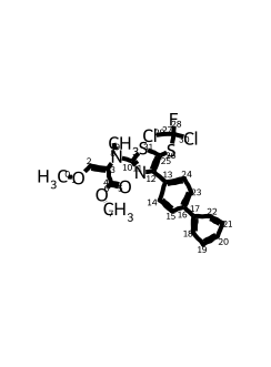 COC=C(C(=O)OC)N(C)c1nc(-c2ccc(-c3ccccc3)cc2)c(SC(F)(Cl)Cl)s1